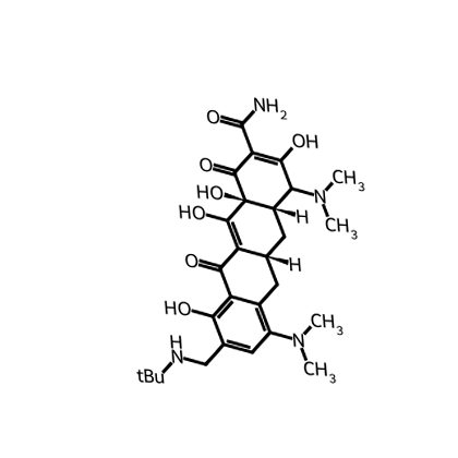 CN(C)c1cc(CNC(C)(C)C)c(O)c2c1C[C@H]1C[C@H]3C(N(C)C)C(O)=C(C(N)=O)C(=O)[C@@]3(O)C(O)=C1C2=O